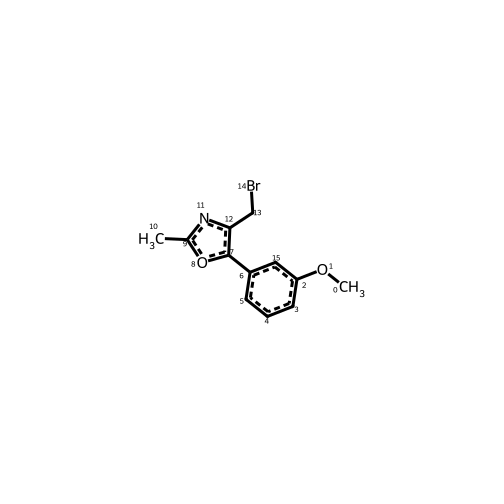 COc1cccc(-c2oc(C)nc2CBr)c1